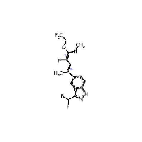 C=N/C(OCC(F)(F)F)=C(F)\C=C(/C)c1ccc2nnc(C(F)F)n2c1